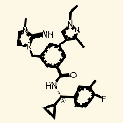 CCn1cc(-c2cc(Cn3ccn(C)c3=N)cc(C(=O)N[C@H](c3ccc(F)c(C)c3)C3CC3)c2)c(C)n1